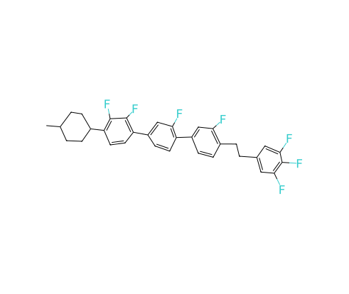 CC1CCC(c2ccc(-c3ccc(-c4ccc(CCc5cc(F)c(F)c(F)c5)c(F)c4)c(F)c3)c(F)c2F)CC1